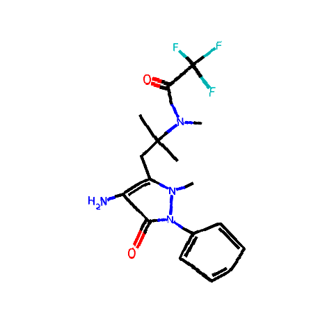 CN(C(=O)C(F)(F)F)C(C)(C)Cc1c(N)c(=O)n(-c2ccccc2)n1C